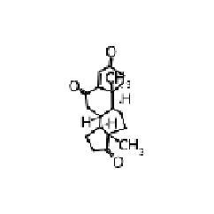 C[C@]12[CH]CC(=O)C=C1C(=O)C[C@@H]1[C@@H]2CC[C@]2(C)C(=O)CC[C@@H]12